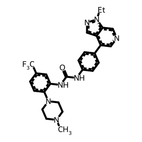 CCn1ncc2c(-c3ccc(NC(=O)Nc4cc(C(F)(F)F)ccc4N4CCN(C)CC4)cc3)cncc21